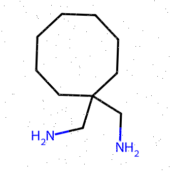 NCC1(CN)CCCCCCC1